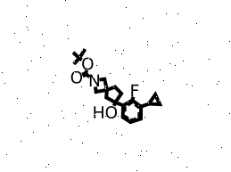 CC(C)(C)OC(=O)N1CC2(CCC(O)(c3cccc(C4CC4)c3F)C2)C1